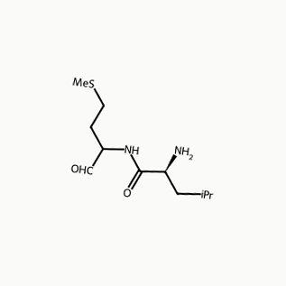 CSCCC(C=O)NC(=O)[C@@H](N)CC(C)C